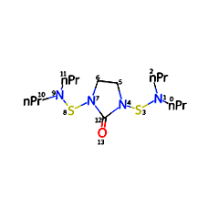 CCCN(CCC)SN1CCN(SN(CCC)CCC)C1=O